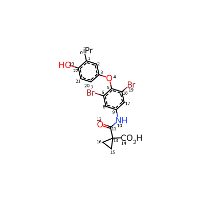 CC(C)c1cc(Oc2c(Br)cc(NC(=O)C3(C(=O)O)CC3)cc2Br)ccc1O